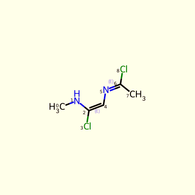 CN/C(Cl)=C\N=C(/C)Cl